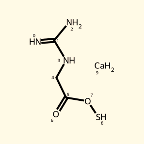 N=C(N)NCC(=O)OS.[CaH2]